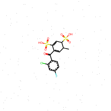 CC1C=C(C(=O)c2ccc(F)cc2Cl)C(S(=O)(=O)O)=CC1S(=O)(=O)O